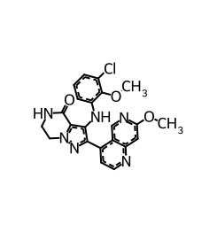 COc1cc2nccc(-c3nn4c(c3Nc3cccc(Cl)c3OC)C(=O)NCC4)c2cn1